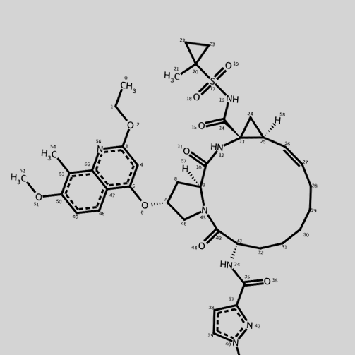 CCOc1cc(O[C@@H]2C[C@H]3C(=O)N[C@]4(C(=O)NS(=O)(=O)C5(C)CC5)C[C@H]4/C=C\CCCCC[C@H](NC(=O)c4ccn(C)n4)C(=O)N3C2)c2ccc(OC)c(C)c2n1